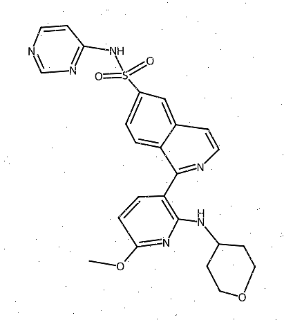 COc1ccc(-c2nccc3cc(S(=O)(=O)Nc4ccncn4)ccc23)c(NC2CCOCC2)n1